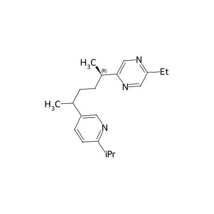 CCc1cnc([C@H](C)CCC(C)c2ccc(C(C)C)nc2)cn1